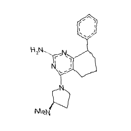 CN[C@@H]1CCN(c2nc(N)nc3c2CCCC3c2ccccc2)C1